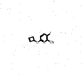 N#Cc1nc(OC2CCC2)ccc1F